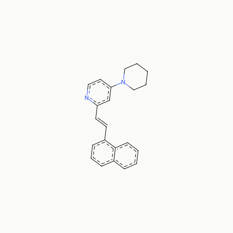 C(=Cc1cccc2ccccc12)c1cc(N2CCCCC2)ccn1